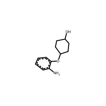 Nc1ccccc1OC1CCC(O)CC1